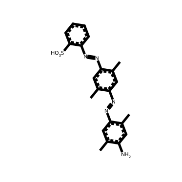 Cc1cc(N=Nc2cc(C)c(N=Nc3ccccc3S(=O)(=O)O)cc2C)c(C)cc1N